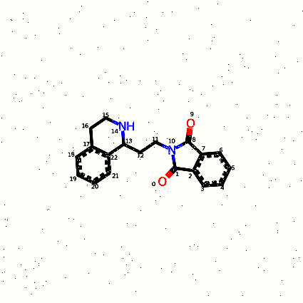 O=C1c2ccccc2C(=O)N1CCC1NCCc2ccccc21